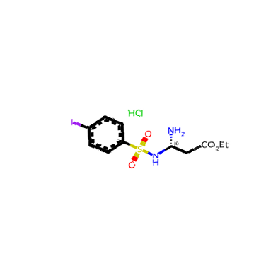 CCOC(=O)C[C@@H](N)NS(=O)(=O)c1ccc(I)cc1.Cl